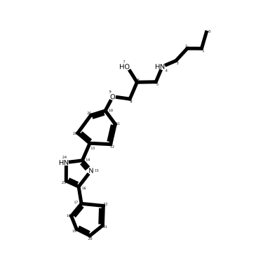 CCCCNCC(O)COc1ccc(-c2nc(-c3ccccc3)c[nH]2)cc1